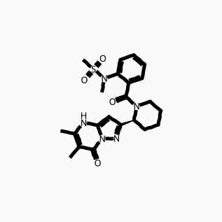 Cc1[nH]c2cc([C@@H]3CCCCN3C(=O)c3ccccc3N(C)S(C)(=O)=O)nn2c(=O)c1C